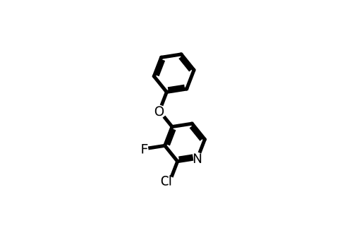 Fc1c(Oc2ccccc2)ccnc1Cl